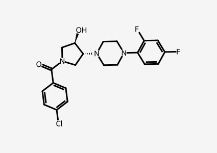 O=C(c1ccc(Cl)cc1)N1C[C@@H](O)[C@H](N2CCN(c3ccc(F)cc3F)CC2)C1